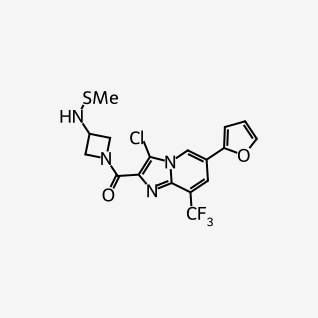 CSNC1CN(C(=O)c2nc3c(C(F)(F)F)cc(-c4ccco4)cn3c2Cl)C1